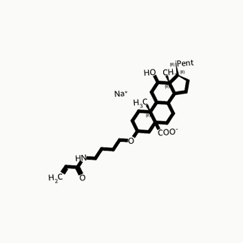 C=CC(=O)NCCCCOC1CC[C@]2(C)C3CC(O)[C@@]4(C)C(CC[C@@H]4[C@H](C)CCC)C3CCC2(C(=O)[O-])C1.[Na+]